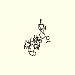 COc1ncnc(OC)c1-n1c(NS(=O)(=O)[C@H]2C[C@H](OC(C)C)CN(c3ncc(F)cn3)C2)nnc1[C@@H]1CCCO1